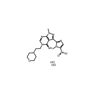 Cl.Cl.Cn1c([N+](=O)[O-])cnc1-c1nn(C)c2ncn(CCN3CCOCC3)c(=N)c12